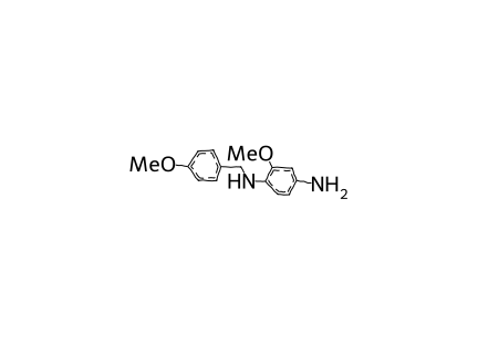 COc1ccc(CNc2ccc(N)cc2OC)cc1